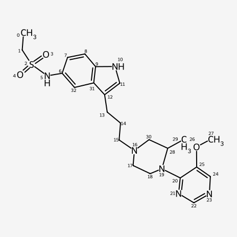 CCS(=O)(=O)Nc1ccc2[nH]cc(CCCN3CCN(c4ncncc4OC)C(C)C3)c2c1